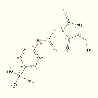 CC(C)CC1NC(=O)N(CC(=O)Nc2ccc(C(O)(O)F)cc2)C1=O